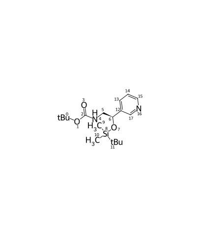 CC(C)(C)OC(=O)NC[C@H](O[Si](C)(C)C(C)(C)C)c1cccnc1